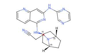 N#CCCN1[C@@H]2CC[C@H]1C[C@H](Nc1nc(Nc3cnccn3)cc3ncccc13)C2